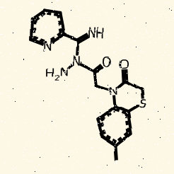 Cc1ccc2c(c1)SCC(=O)N2CC(=O)N(N)C(=N)c1ccccn1